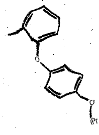 [CH2]c1ccccc1Oc1ccc(OC(C)C)cc1